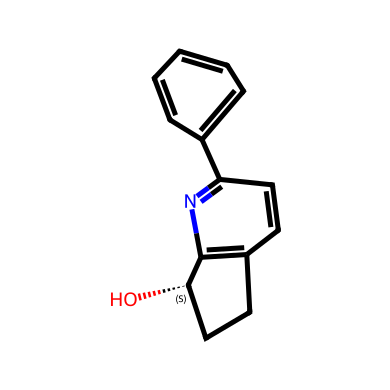 O[C@H]1CCc2ccc(-c3ccccc3)nc21